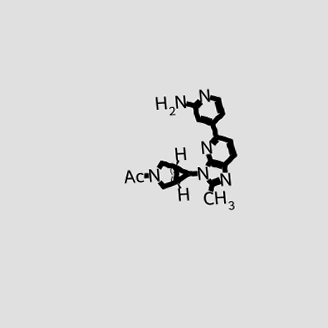 CC(=O)N1C[C@@H]2C(n3c(C)nc4ccc(-c5ccnc(N)c5)nc43)[C@@H]2C1